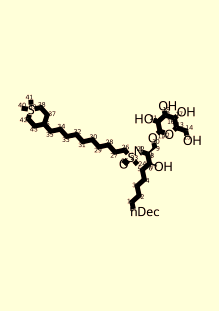 CCCCCCCCCCCCCCC[C@@H](O)[C@H](COC1OC(CO)C(O)C(O)C1O)N=S(C)(=O)CCCCCCCCCCC1CCS(C)(C)CC1